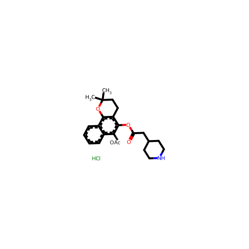 CC(=O)Oc1c(OC(=O)CC2CCNCC2)c2c(c3ccccc13)OC(C)(C)CC2.Cl